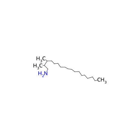 CCCCCCCCCCCCCCCC(C)C(C)CN